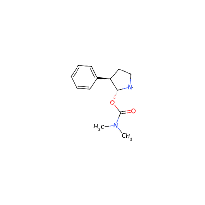 CN(C)C(=O)O[C@H]1[N]CC[C@@H]1c1ccccc1